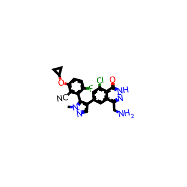 Cn1ncc(-c2cc(Cl)c3c(=O)[nH]nc(CN)c3c2)c1-c1c(F)ccc(OC2CC2)c1C#N